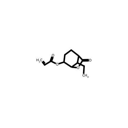 C=CC(=O)OC1CCC2C(=O)OC1C2CC